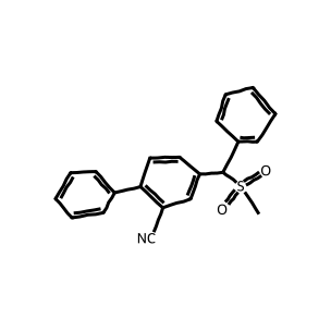 CS(=O)(=O)C(c1ccccc1)c1ccc(-c2ccccc2)c(C#N)c1